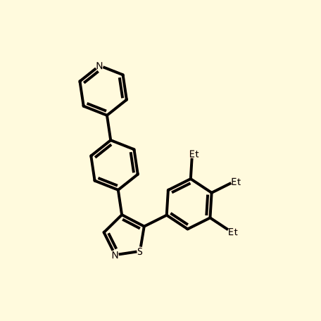 CCc1cc(-c2sncc2-c2ccc(-c3ccncc3)cc2)cc(CC)c1CC